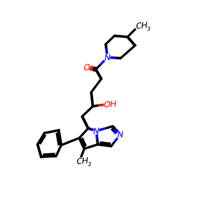 CC1=C(c2ccccc2)C(CC(O)CCC(=O)N2CCC(C)CC2)n2cncc21